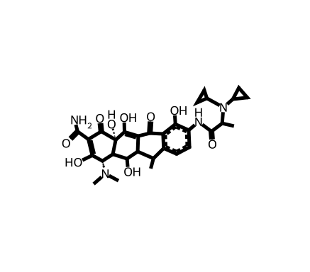 CC1c2ccc(NC(=O)C(C)N(C3CC3)C3CC3)c(O)c2C(=O)C2=C(O)[C@]3(O)C(=O)C(C(N)=O)=C(O)[C@@H](N(C)C)C3C(O)C21